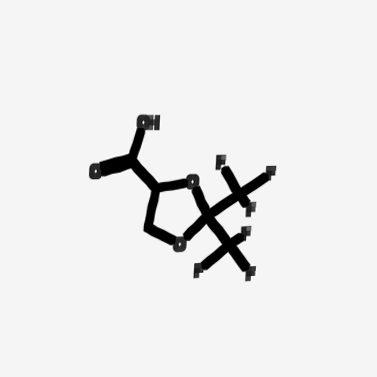 O=C(O)C1COC(C(F)(F)F)(C(F)(F)F)O1